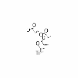 C=CC(=O)[O-].C=CC(=O)[O-].C=CC(=O)[O-].C[CH](C)[Ti+3]